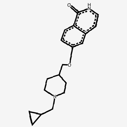 O=c1[nH]ccc2cc(OCC3CCN(CC4CC4)CC3)ccc12